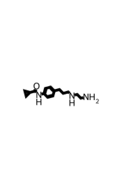 NCCNCCCc1ccc(NC(=O)C2CC2)cc1